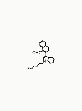 O=Cc1c(-c2cn(CCCCCF)c3ccccc23)ccc2ccccc12